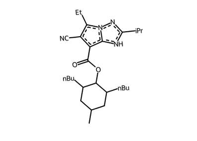 CCCCC1CC(C)CC(CCCC)C1OC(=O)c1c(C#N)c(CC)n2nc(C(C)C)[nH]c12